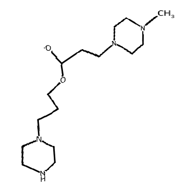 CN1CCN(CCC([O])OCCCN2CCNCC2)CC1